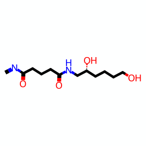 C=NC(=O)CCCC(=O)NC[C@H](O)CCCCO